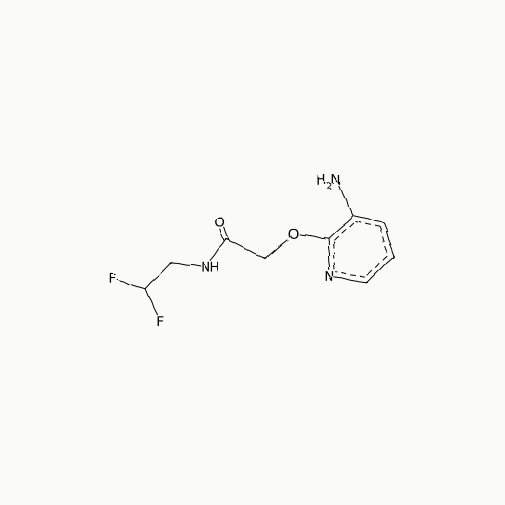 Nc1cccnc1OCC(=O)NCC(F)F